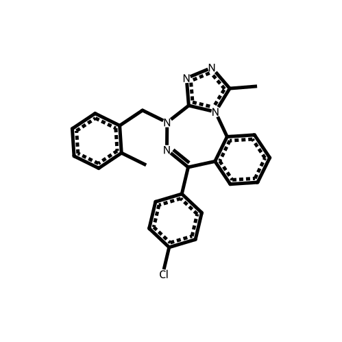 Cc1ccccc1CN1N=C(c2ccc(Cl)cc2)c2ccccc2-n2c(C)nnc21